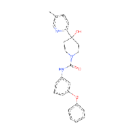 Cc1ccc(C2(O)CCN(C(=O)Nc3cccc(Oc4ccccc4)c3)CC2)nc1